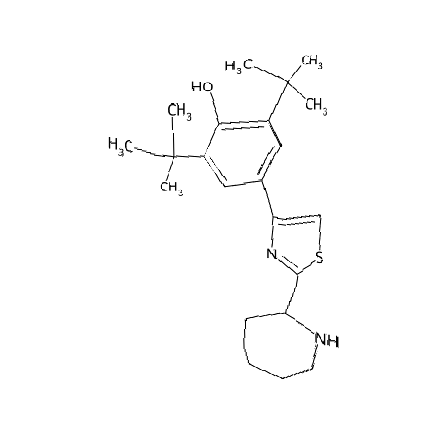 CC(C)(C)c1cc(-c2csc(C3CCCCN3)n2)cc(C(C)(C)C)c1O